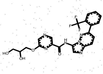 O=C(Nc1cnc2ccc(-c3ccccc3C(F)(F)F)nn12)c1cncc(OCC(O)CO)n1